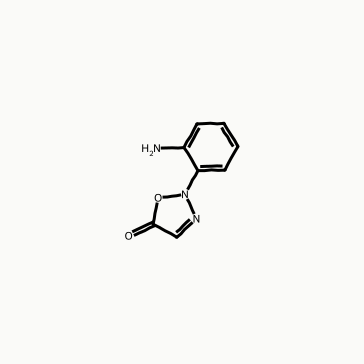 Nc1ccccc1-n1ncc(=O)o1